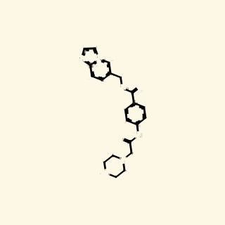 O=C(CN1CCOCC1)Nc1ccc(C(=O)NCc2ccc3nccn3c2)cc1